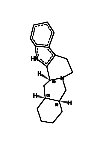 c1ccc2c3c([nH]c2c1)[C@@H]1C[C@@H]2CCCC[C@@H]2CN1CC3